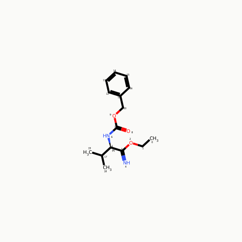 CCOC(=N)[C@H](NC(=O)OCc1ccccc1)C(C)C